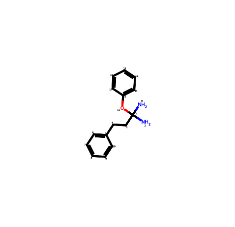 NC(N)(CCc1ccccc1)Oc1ccccc1